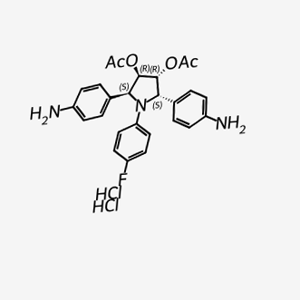 CC(=O)O[C@H]1[C@H](OC(C)=O)[C@H](c2ccc(N)cc2)N(c2ccc(F)cc2)[C@H]1c1ccc(N)cc1.Cl.Cl